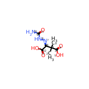 CC(C)(C(=O)O)C(=NNC(N)=O)C(=O)O